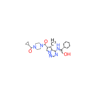 Cc1c(C(=O)N2CCN(C(=O)C3CC3)CC2)cn2ncnc(N[C@H](CO)c3ccccc3)c12